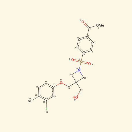 COC(=O)c1ccc(S(=O)(=O)N2CC(CO)(COc3ccc(C#N)c(F)c3)C2)cc1